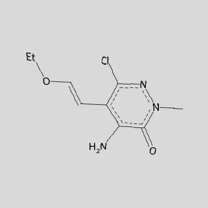 CCOC=Cc1c(Cl)nn(C)c(=O)c1N